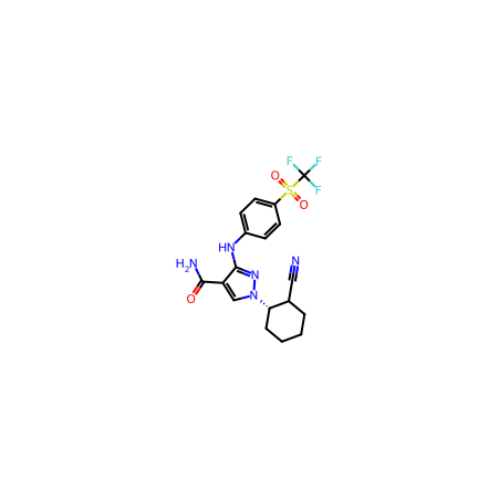 N#CC1CCCC[C@@H]1n1cc(C(N)=O)c(Nc2ccc(S(=O)(=O)C(F)(F)F)cc2)n1